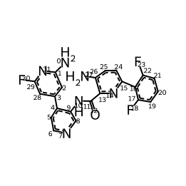 Nc1cc(-c2ccncc2NC(=O)c2nc(-c3c(F)cccc3F)ccc2N)cc(F)n1